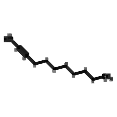 CCCCCCCCC#CO